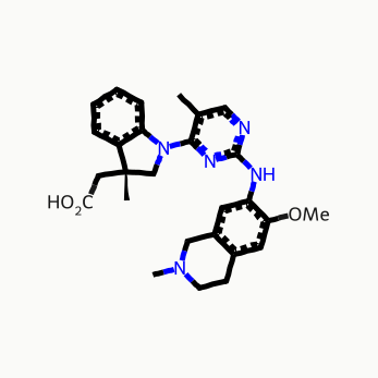 COc1cc2c(cc1Nc1ncc(C)c(N3C[C@](C)(CC(=O)O)c4ccccc43)n1)CN(C)CC2